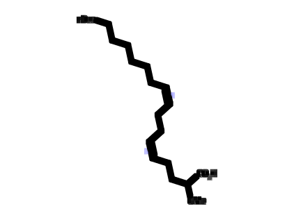 CCCCCCCCCCCCCCCC/C=C\CC/C=C\CCC(OC)C(=O)O